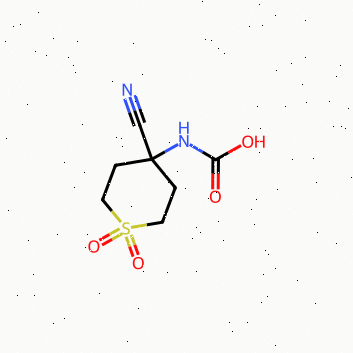 N#CC1(NC(=O)O)CCS(=O)(=O)CC1